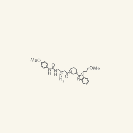 COCCCn1c([C@@H]2CCCN(C(=O)C[C@H](N)CNC(=O)Nc3ccc(OC)cc3)C2)nc2ccccc21